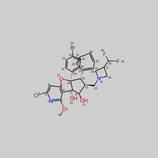 COc1nc(Cl)cc2c1[C@]1(O)[C@H](O)[C@H](CN3CC(C(F)F)C3)[C@@H](c3ccccc3)[C@]1(c1ccc(Br)cc1)O2